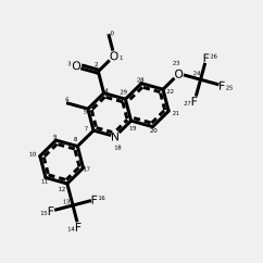 COC(=O)c1c(C)c(-c2cccc(C(F)(F)F)c2)nc2ccc(OC(F)(F)F)cc12